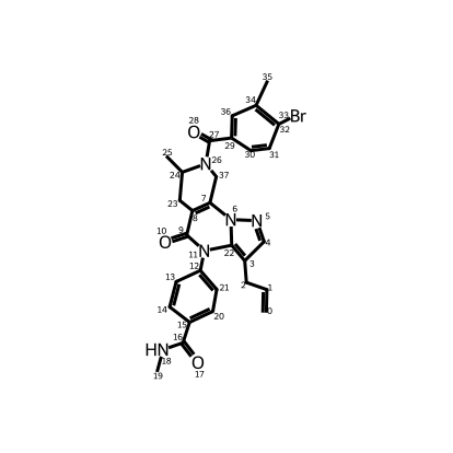 C=CCc1cnn2c3c(c(=O)n(-c4ccc(C(=O)NC)cc4)c12)CC(C)N(C(=O)c1ccc(Br)c(C)c1)C3